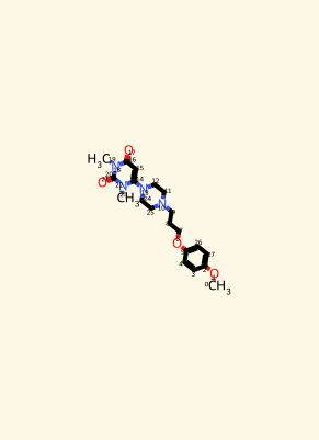 COc1ccc(OCCCN2CCN(c3cc(=O)n(C)c(=O)n3C)CC2)cc1